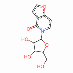 O=c1c2ccoc2ccn1C1OC(CO)C(O)C1O